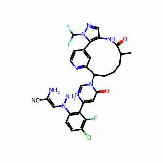 CC1CCCC(n2cnc(-c3c(N(N)/C=C(\N)C#N)ccc(Cl)c3F)cc2=O)c2cc(ccn2)-c2c(cnn2C(F)F)NC1=O